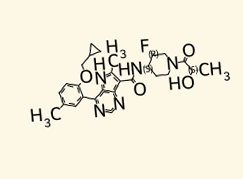 Cc1ccc(OCC2CC2)c(-c2ncnc3c(C(=O)N[C@H]4CCN(C(=O)[C@H](C)O)C[C@H]4F)c(C)[nH]c23)c1